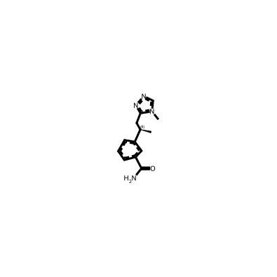 C[C@H](Cc1nncn1C)c1cccc(C(N)=O)c1